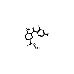 CC(C)(C)OC(=O)N1CCC(O)C(C(=O)c2ccc(F)cc2F)C1